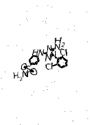 Nc1nc(Nc2ccc(S(N)(=O)=O)cc2)nn1-c1c(Cl)cccc1Cl